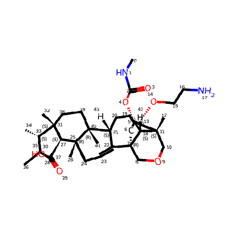 CNC(=O)O[C@H]1C[C@@]23COC[C@@](C)([C@H]1OCCN)[C@H]2CC[C@@H]1C3=CC[C@]2(C)[C@@H](C(=O)O)[C@](C)([C@@H](C)C(C)C)CC[C@]12C